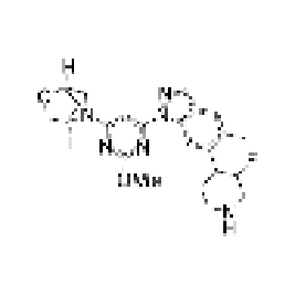 COc1nc(N2C[C@H]3C[C@@H]2CO3)cc(-n2ncc3cc(C)c(C4CCNCC4F)cc32)n1